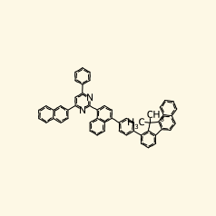 CC1(C)c2c(-c3ccc(-c4ccc(-c5nc(-c6ccccc6)cc(-c6ccc7ccccc7c6)n5)c5ccccc45)cc3)cccc2-c2ccc3ccccc3c21